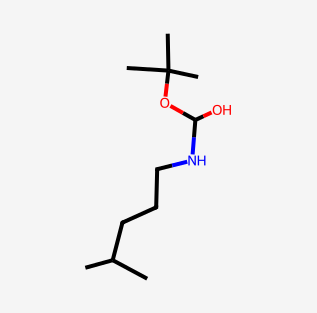 CC(C)CCCNC(O)OC(C)(C)C